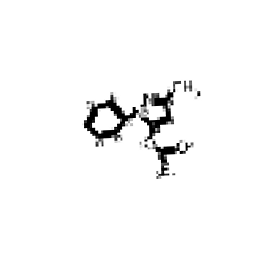 CCC(=O)Oc1cc(C)nn1-c1ccccc1